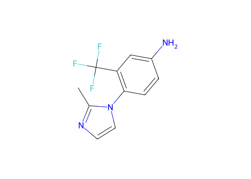 Cc1nccn1-c1ccc(N)cc1C(F)(F)F